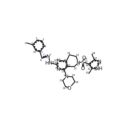 Cc1cccc(/C=N/Nc2nc3c(c(N4CCOCC4)n2)CN(S(=O)(=O)c2c(C)n[nH]c2C)CC3)c1